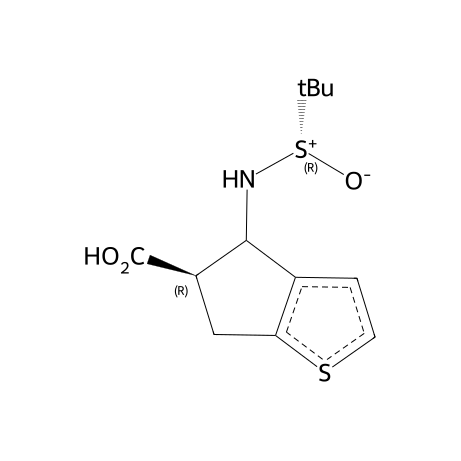 CC(C)(C)[S@+]([O-])NC1c2ccsc2C[C@H]1C(=O)O